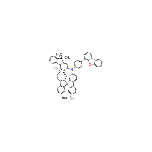 CC(C)(C)c1ccc2c(c1)C1(C3=C2C=CC(C(C)(C)C)C=C3)c2cc(N(c3ccc(-c4cccc5c4oc4ccccc45)cc3)c3ccc4c(c3)C(C)(C)c3ccccc3-4)ccc2-c2ccc(C(C)(C)C)cc21